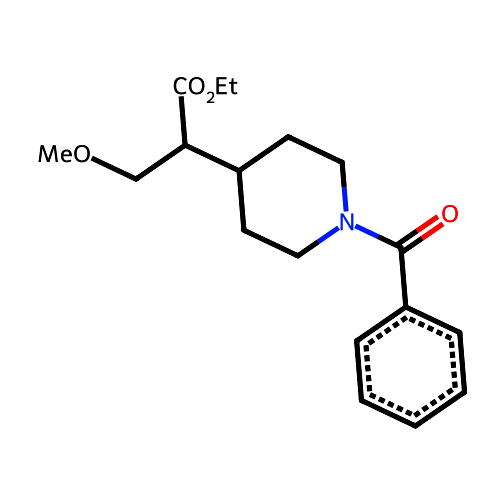 CCOC(=O)C(COC)C1CCN(C(=O)c2ccccc2)CC1